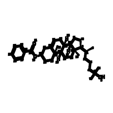 C[C@H](CCCC(C)(C)O)[C@H]1CC[C@H]2[C@@H]3CC=C4C[C@@H](OC(=O)c5ccccc5)CC[C@]4(C)[C@H]3CC[C@]12C